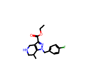 CCOC(=O)c1nn(Cc2ccc(F)cc2)c2c1CNCC2C